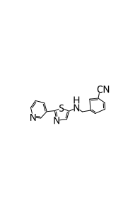 N#Cc1cccc(CNc2cnc(-c3cccnc3)s2)c1